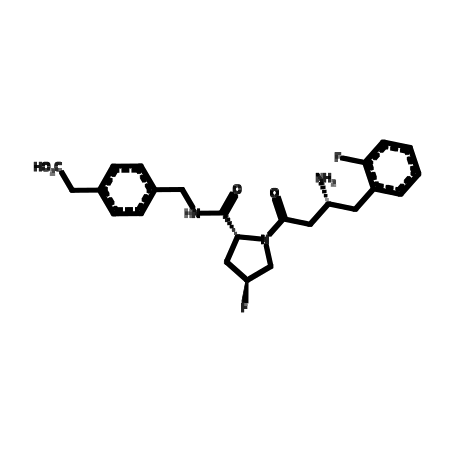 N[C@@H](CC(=O)N1C[C@@H](F)C[C@@H]1C(=O)NCc1ccc(CC(=O)O)cc1)Cc1ccccc1F